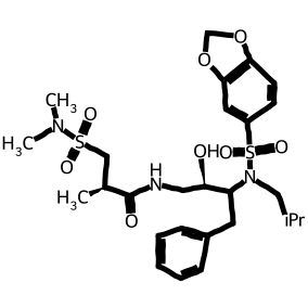 CC(C)CN(C(Cc1ccccc1)[C@H](O)CNC(=O)[C@@H](C)CS(=O)(=O)N(C)C)S(=O)(=O)c1ccc2c(c1)OCO2